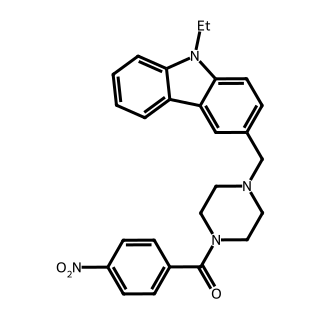 CCn1c2ccccc2c2cc(CN3CCN(C(=O)c4ccc([N+](=O)[O-])cc4)CC3)ccc21